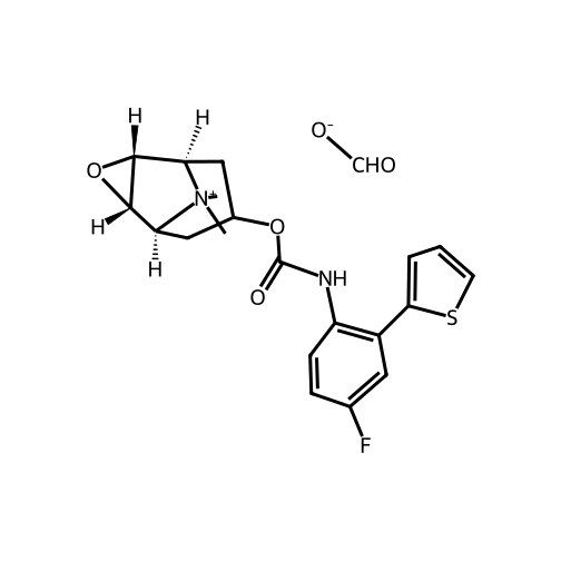 C[N+]1(C)[C@@H]2CC(OC(=O)Nc3ccc(F)cc3-c3cccs3)C[C@H]1[C@@H]1O[C@@H]12.O=C[O-]